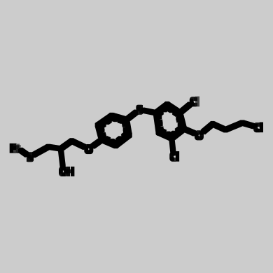 CCSCC(O)COc1ccc(Sc2cc(Cl)c(OCCCCl)c(Cl)c2)cc1